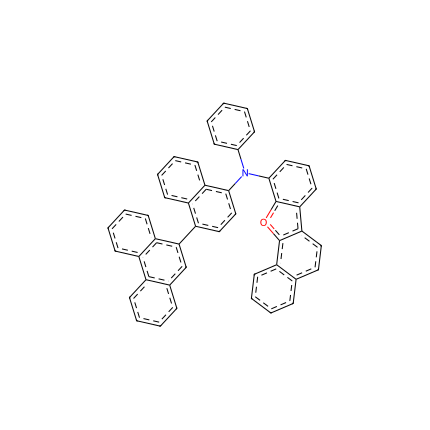 c1ccc(N(c2ccc(-c3cc4ccccc4c4ccccc34)c3ccccc23)c2cccc3c2oc2c4ccccc4ccc32)cc1